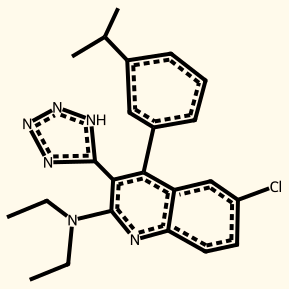 CCN(CC)c1nc2ccc(Cl)cc2c(-c2cccc(C(C)C)c2)c1-c1nnn[nH]1